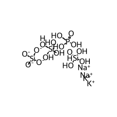 O=P(O)(O)O.O[Si](O)(O)O.O[Si](O)(O)O.[K+].[K+].[Na+].[Na+].[O-][Si]([O-])([O-])[O-]